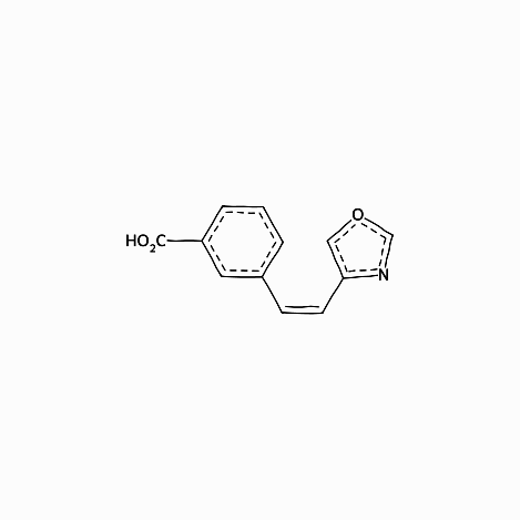 O=C(O)c1cccc(/C=C\c2cocn2)c1